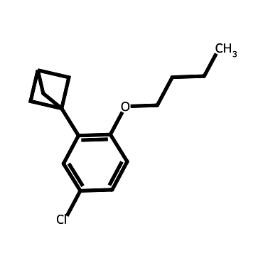 CCCCOc1ccc(Cl)cc1C12CC(C1)C2